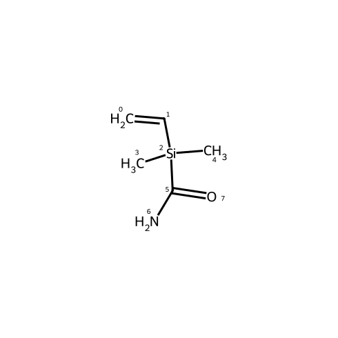 C=C[Si](C)(C)C(N)=O